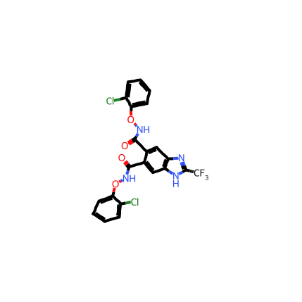 O=C(NOc1ccccc1Cl)c1cc2nc(C(F)(F)F)[nH]c2cc1C(=O)NOc1ccccc1Cl